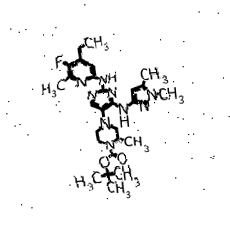 CCc1cc(Nc2ncc(N3CCN(C(=O)OC(C)(C)C)[C@H](C)C3)c(Nc3cc(C)n(C)n3)n2)nc(C)c1F